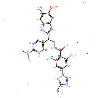 COc1cc2nc(C(CNC(=O)c3c(Cl)cc(-n4cnc(C)n4)cc3Cl)c3cnc(N(C)C)nc3)[nH]c2cc1Cl